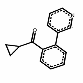 O=C(c1ccccc1-c1[c]nccc1)C1CC1